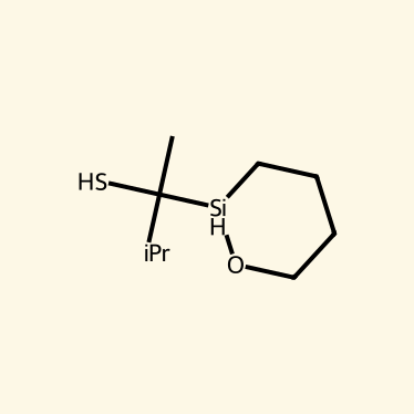 CC(C)C(C)(S)[SiH]1CCCCO1